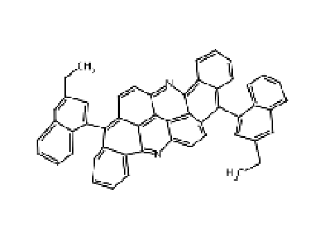 CCc1cc(-c2c3ccccc3c3nc4ccc5c(-c6cc(CC)cc7ccccc67)c6ccccc6c6nc7ccc2c3c7c4c56)c2ccccc2c1